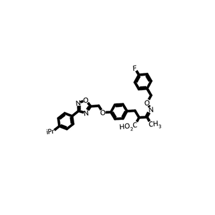 CC(=NOCc1ccc(F)cc1)C(Cc1ccc(OCc2nc(-c3ccc(C(C)C)cc3)no2)cc1)C(=O)O